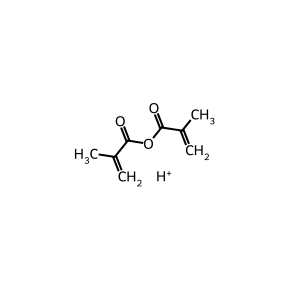 C=C(C)C(=O)OC(=O)C(=C)C.[H+]